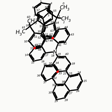 CC1(C)c2ccccc2-c2cc(-c3ccccc3N(c3ccc(-c4cccc5cccc(-c6ccccc6)c45)cc3)c3ccccc3-c3cccc4c3-c3ccccc3C4(C)C)ccc21